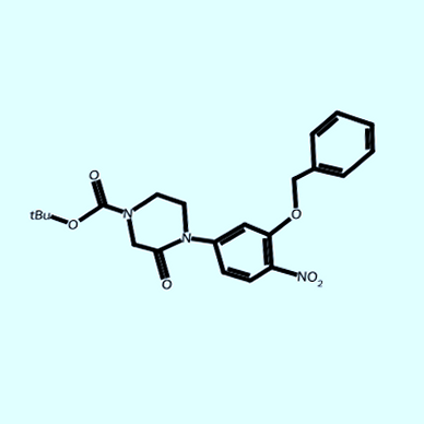 CC(C)(C)OC(=O)N1CCN(c2ccc([N+](=O)[O-])c(OCc3ccccc3)c2)C(=O)C1